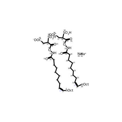 CCCCCCCC/C=C\CCCCCCCC(=O)NOC(=O)C(CC(=O)[O-])S(=O)(=O)O.CCCCCCCC/C=C\CCCCCCCC(=O)NOC(=O)C(CC(=O)[O-])S(=O)(=O)O.[Na+].[Na+]